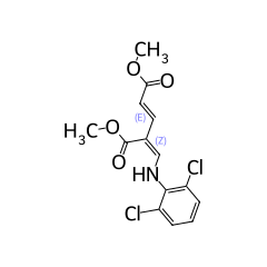 COC(=O)/C=C/C(=C/Nc1c(Cl)cccc1Cl)C(=O)OC